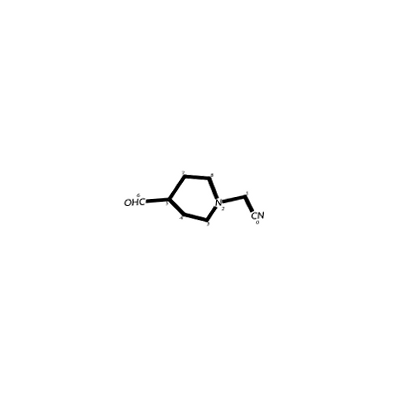 N#CCN1CCC(C=O)CC1